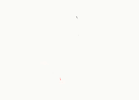 C=C1[C@H](O)CC(=C/C=C2\CCCC3(C)C2CCC3[C@@H](C)CCC)C[C@H]1O